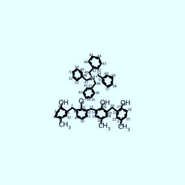 Cc1ccc(O)c(Cc2cccc(Cc3cc(C)cc(Cc4cc(C)ccc4O)c3O)c2[O-])c1.c1ccc(C[N+](Cc2ccccc2)(Cc2ccccc2)Cc2ccccc2)cc1